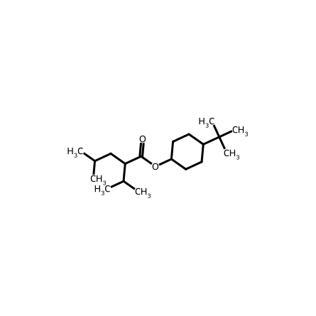 CC(C)CC(C(=O)OC1CCC(C(C)(C)C)CC1)C(C)C